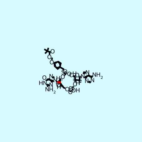 CC(C)(C)C(=O)OCOc1ccc(CSP2(=O)OC[C@H]3O[C@@H](n4cnc5c(N)ncnc54)[C@H](F)[C@@H]3OCP(=O)(O)OC[C@H]3O[C@@H](n4cnc5c(=O)[nH]c(N)nc54)[C@H](O2)[C@@H]3F)cc1